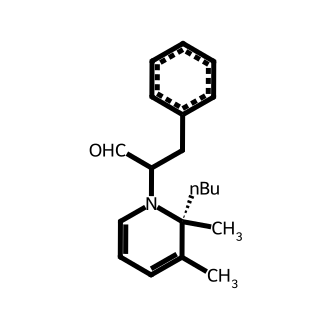 CCCC[C@]1(C)C(C)=CC=CN1C(C=O)Cc1ccccc1